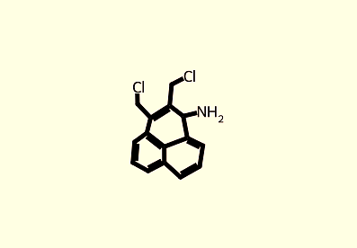 NC1C(CCl)=C(CCl)c2cccc3cccc1c23